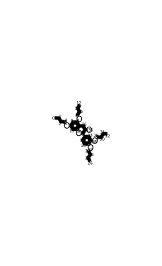 CCCCOc1cc(OCCCC)c2c(c1)O[C@H](c1ccc(OCCCC)c(OCCCC)c1)C(=O)C2